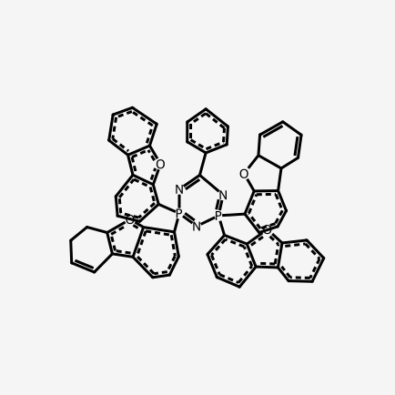 C1=CC2Oc3c(cccc3P3(c4cccc5c4oc4ccccc45)=NC(c4ccccc4)=NP(c4cccc5c6c(oc45)CCC=C6)(c4cccc5c4oc4ccccc45)=N3)C2C=C1